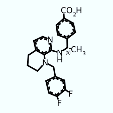 C[C@H](Nc1nccc2c1N(Cc1ccc(F)c(F)c1)CCC2)c1ccc(C(=O)O)cc1